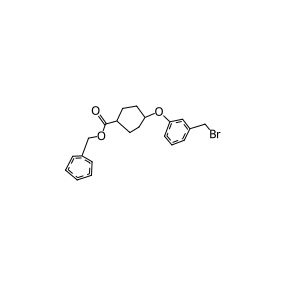 O=C(OCc1ccccc1)C1CCC(Oc2cccc(CBr)c2)CC1